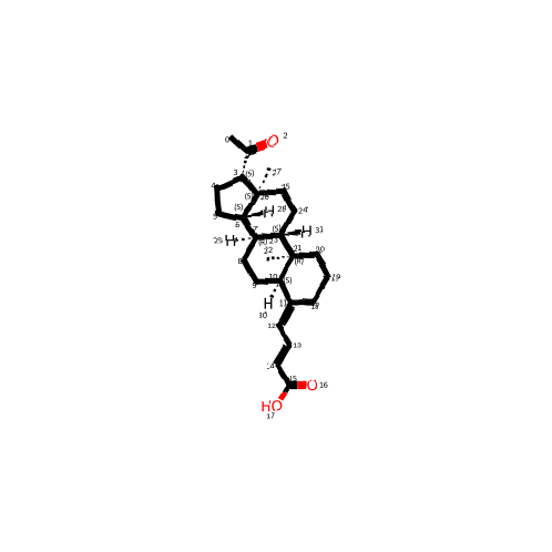 CC(=O)[C@H]1CC[C@H]2[C@@H]3CC[C@@H]4C(=CC=CC(=O)O)CCC[C@]4(C)[C@H]3CC[C@]12C